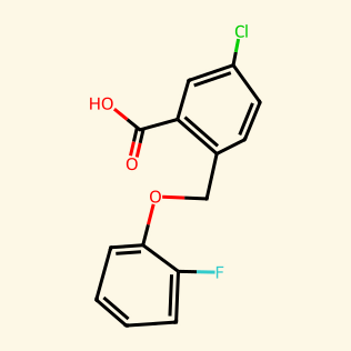 O=C(O)c1cc(Cl)ccc1COc1ccccc1F